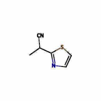 CC(C#N)c1nccs1